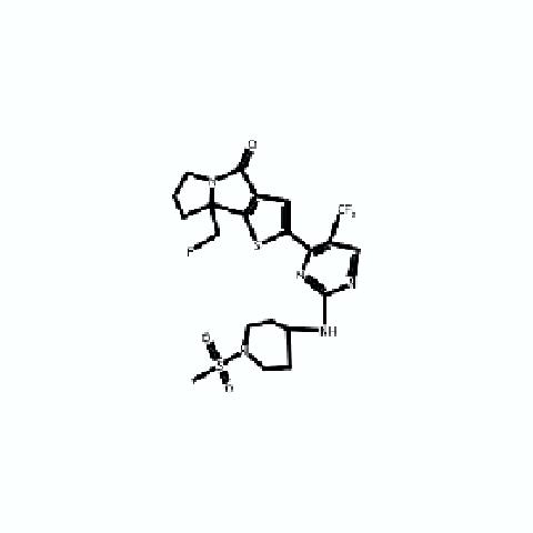 CS(=O)(=O)N1CCC(Nc2ncc(C(F)(F)F)c(-c3cc4c(s3)C3(CF)CCCN3C4=O)n2)CC1